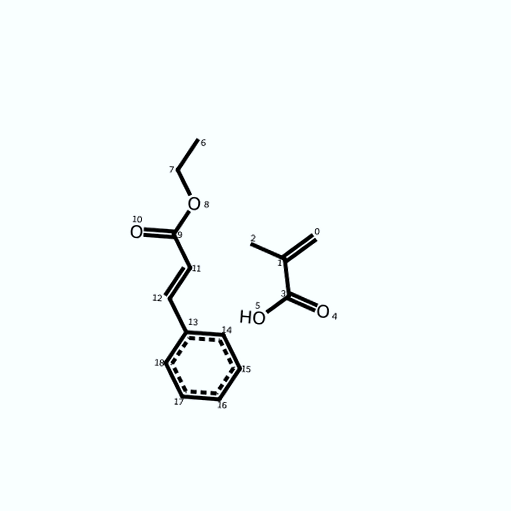 C=C(C)C(=O)O.CCOC(=O)C=Cc1ccccc1